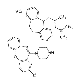 CC(CC1c2ccccc2CCc2ccccc21)CN(C)C.Cl.Clc1ccc2c(c1)C(N1CCNCC1)=Nc1ccccc1O2